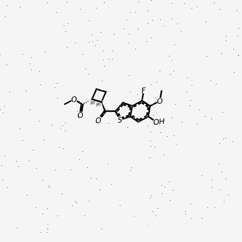 COC(=O)[C@@H]1CC[C@H]1C(=O)c1cc2c(F)c(OC)c(O)cc2s1